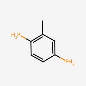 Cc1cc(P)ccc1P